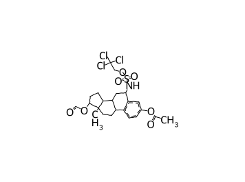 CC(=O)Oc1ccc2c(c1)C(NS(=O)(=O)OCC(Cl)(Cl)Cl)CC1C2CCC2(C)C(OC=O)CCC12